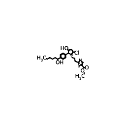 CCCCCC(O)c1ccc(C2[C@H](O)C[C@@H](Cl)[C@@H]2CCCc2ncc(C(=O)OCC)s2)cc1